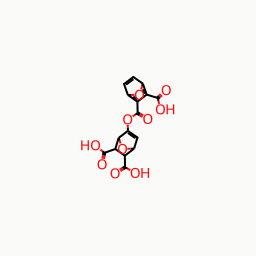 O=C(O)c1c(C(=O)OC2=CC3OC2C(C(=O)O)C3C(=O)O)c2ccc1o2